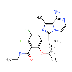 CCNC(=O)c1c(F)c(Cl)cc([C@](C)([SiH3])c2nc(C)c3c(N)nccn23)c1OC(C)C